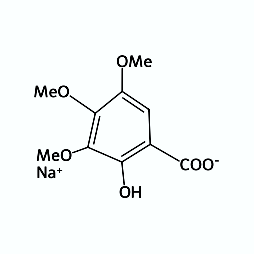 COc1cc(C(=O)[O-])c(O)c(OC)c1OC.[Na+]